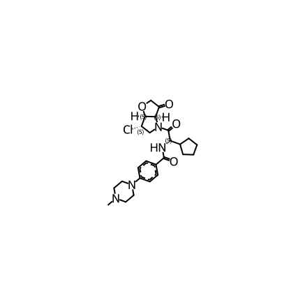 CN1CCN(c2ccc(C(=O)N[C@H](C(=O)N3C[C@H](Cl)[C@H]4OCC(=O)[C@H]43)C3CCCC3)cc2)CC1